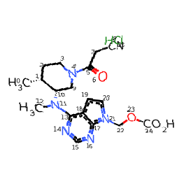 C[C@@H]1CCN(C(=O)CC#N)C[C@@H]1N(C)c1ncnc2c1ccn2COC(=O)O.Cl